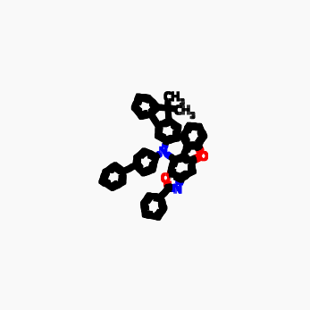 CC1(C)c2ccccc2-c2cc(N(c3ccc(-c4ccccc4)cc3)c3c4oc(-c5ccccc5)nc4cc4oc5ccccc5c34)ccc21